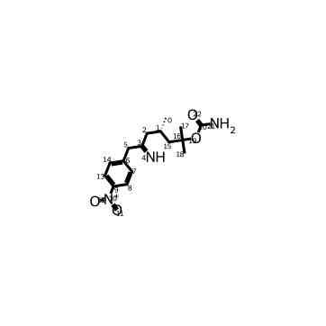 C[C@@H](CC(=N)Cc1ccc([N+](=O)[O-])cc1)CC(C)(C)OC(N)=O